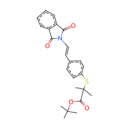 CC(C)(C)OC(=O)C(C)(C)Sc1ccc(C=CN2C(=O)c3ccccc3C2=O)cc1